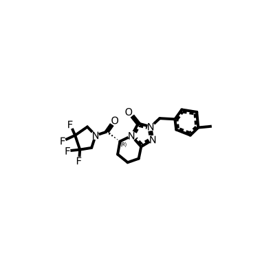 Cc1ccc(Cn2nc3n(c2=O)[C@@H](C(=O)N2CC(F)(F)C(F)(F)C2)CCC3)cc1